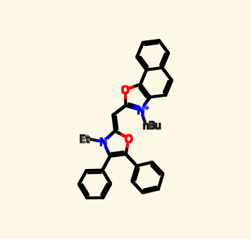 CCCC[n+]1c(C=C2OC(c3ccccc3)=C(c3ccccc3)N2CC)oc2c3ccccc3ccc21